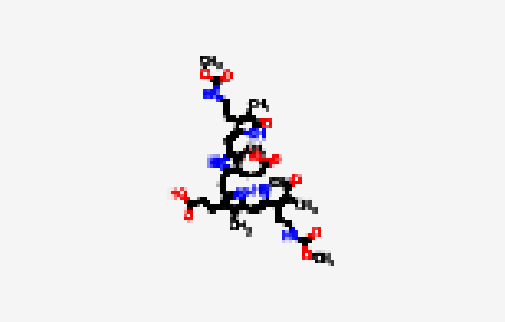 CNC(=C\c1[nH]c(Cc2[nH]c(/C=C3\NC(=O)C(C)=C3CCNC(=O)OC)c(C)c2CCC(=O)O)c(CCC(=O)O)c1C)/C(CCNC(=O)OC)=C(/C)C=O